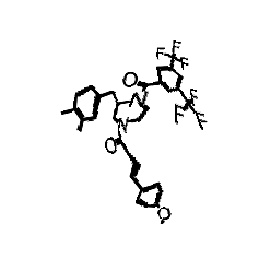 COc1ccc(C=CC(=O)N2CCN(C(=O)c3cc(C(F)(F)F)cc(C(F)(F)F)c3)[C@H](Cc3ccc(C)c(C)c3)C2)cc1